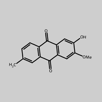 COc1cc2c(cc1O)C(=O)c1ccc(C)cc1C2=O